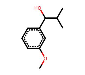 COc1cccc(C(O)C(C)C)c1